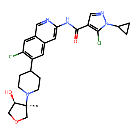 C[C@]1(N2CCC(c3cc4cc(NC(=O)c5cnn(C6CC6)c5Cl)ncc4cc3Cl)CC2)COC[C@H]1O